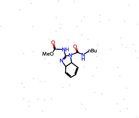 CCCCNC(=O)N1C(NC(=O)OC)=NC2C=CC=CC21